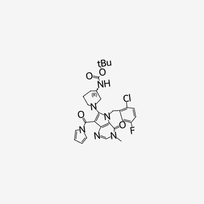 Cn1cnc2c(C(=O)n3cccc3)c(N3CCC[C@@H](NC(=O)OC(C)(C)C)C3)n(Cc3cc(F)ccc3Cl)c2c1=O